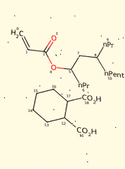 C=CC(=O)OC(CCC)CC(CCC)CCCCC.O=C(O)C1CCCCC1C(=O)O